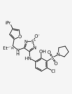 CC[C@@H](Nc1n[s+]([O-])nc1Nc1ccc(Cl)c(S(=O)(=O)N2CCCC2)c1O)c1cc(C(C)C)co1